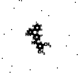 Cc1cc(C)cc(Nc2nccc(-c3[nH]ncc3-c3ccccc3)n2)c1